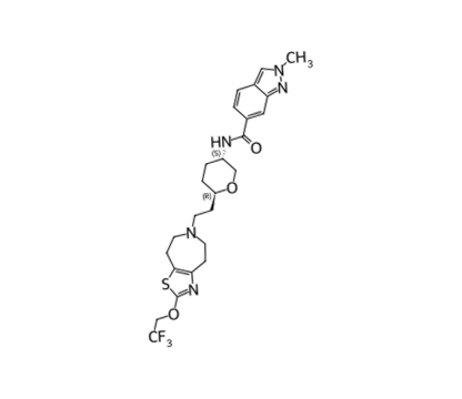 Cn1cc2ccc(C(=O)N[C@H]3CC[C@H](CCN4CCc5nc(OCC(F)(F)F)sc5CC4)OC3)cc2n1